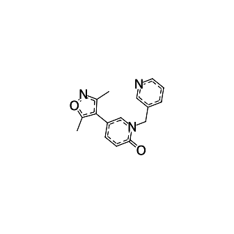 Cc1noc(C)c1-c1ccc(=O)n(Cc2cccnc2)c1